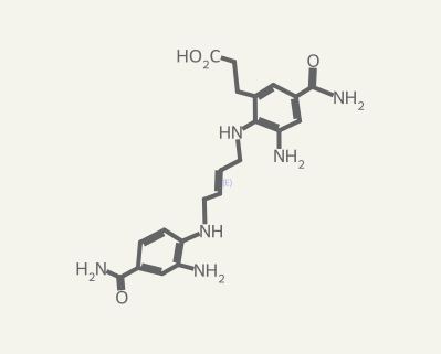 NC(=O)c1ccc(NC/C=C/CNc2c(N)cc(C(N)=O)cc2CCC(=O)O)c(N)c1